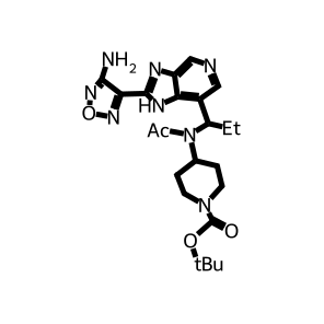 CCC(c1cncc2nc(-c3nonc3N)[nH]c12)N(C(C)=O)C1CCN(C(=O)OC(C)(C)C)CC1